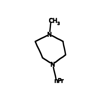 C[CH]CN1CCN(C)CC1